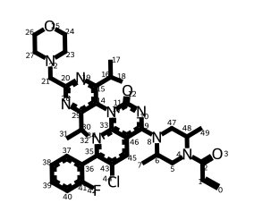 C=CC(=O)N1CC(C)N(c2nc(=O)n(-c3c(C(C)C)nc(CN4CCOCC4)nc3C(C)C)c3nc(-c4ccccc4F)c(Cl)cc23)CC1C